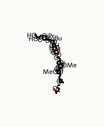 C=C1CO[C@@H](CC[C@@H]2OC(CCC3C[C@@](O)(OC)C(C4CC(OC)[C@H]5OC(CC(=O)OC6[C@H](C)O[C@H]7C[C@H]8O[C@@]9(CC(OOC%10CC%11OC(C(O)CO)CC%11OC%10C(C)C)C([C@@H](C)CC)O9)C[C@H]8O[C@H]7[C@@H]6C)CCC5O4)O3)CC2=C)C[C@H]1C